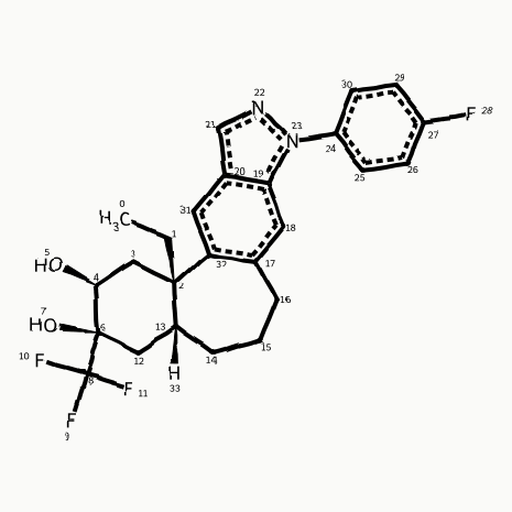 CC[C@]12C[C@H](O)[C@@](O)(C(F)(F)F)C[C@H]1CCCc1cc3c(cnn3-c3ccc(F)cc3)cc12